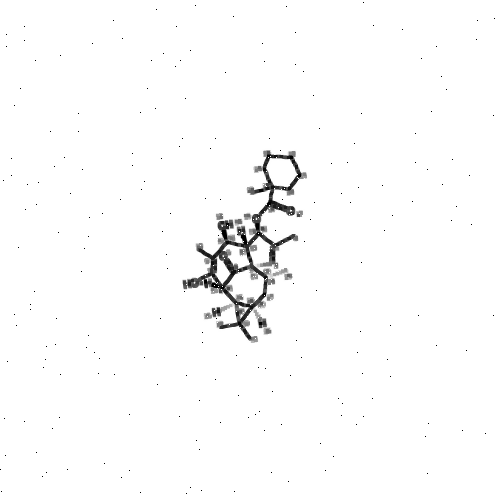 CC1=C[C@]23C(=O)[C@@H](C(O)=C(C)[C@@H](O)[C@@H]2[C@H]1OC(=O)C1(C)CCCCC1)[C@H]1[C@@H](C[C@H]3C)C1(C)C